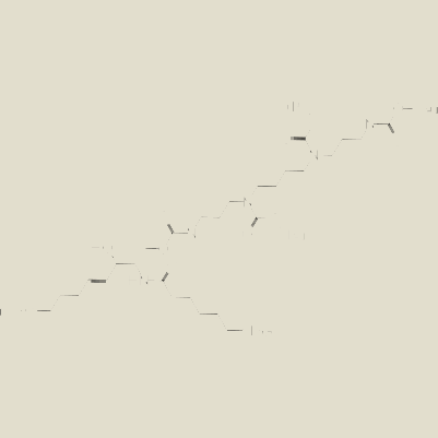 CCCCCCCCCCCCC/C=C/[C@@H](O)[C@H](COC(=O)NCCCN(CCCCN(CCCNC(=O)OC(C)(C)C)C(=O)OC(C)(C)C)C(=O)OC(C)(C)C)NC(=O)CCCCCCCCCCCCCCC